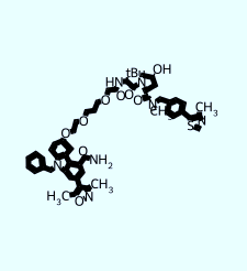 Cc1ncsc1-c1ccc(CN(C)C(=O)[C@@H]2C[C@@H](O)CN2C(=O)[C@@H](NC(=O)COCCCOCCOc2ccc3c(c2)c2c(C(N)=O)cc(-c4c(C)noc4C)cc2n3Cc2ccccc2)C(C)(C)C)cc1